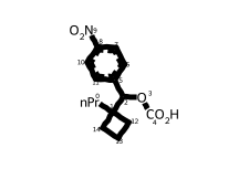 CCCC1(C(OC(=O)O)c2ccc([N+](=O)[O-])cc2)CCC1